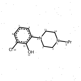 CCCN1CCN(c2cccc(Cl)c2O)CC1